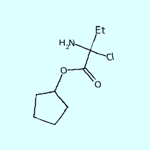 CCC(N)(Cl)C(=O)OC1CCCC1